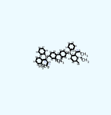 C=C[C@H]1C(/C=C\C)=C(N(c2ccccc2)c2ccc(-c3ccc(N(C(/C=C\C)=c4\ccccc4=C)c4ccccc4)cc3C)c(C)c2)C=CC1I